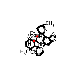 CCNC(=O)NC1(C2CNCCC2(C)C(=O)O)N=CC=CN1c1cc(-c2nc(C)ccc2OC)c2scnc2c1